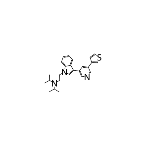 CC(C)N(CCn1cc(-c2cncc(-c3ccsc3)c2)c2ccccc21)C(C)C